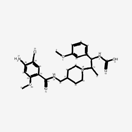 COc1cccc(C(NC(=O)O)C(C)N2CCC(CNC(=O)c3cc(Cl)c(N)cc3OC)CC2)c1